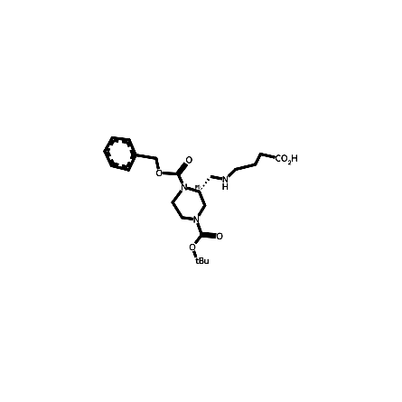 CC(C)(C)OC(=O)N1CCN(C(=O)OCc2ccccc2)[C@H](CNCCCC(=O)O)C1